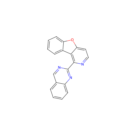 c1ccc2nc(-c3nccc4oc5ccccc5c34)ncc2c1